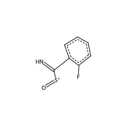 N=C([S+]=O)c1ccccc1F